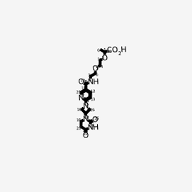 CC(OCCOCCNC(=O)c1ccc(N2CC(N3CCC(=O)NC3=O)C2)nc1)C(=O)O